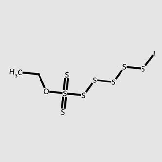 CCOS(=S)(=S)SSSSSI